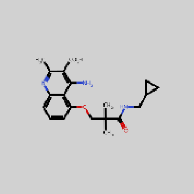 Cc1nc2cccc(OCC(C)(C)C(=O)NCC3CC3)c2c(N)c1C(=O)O